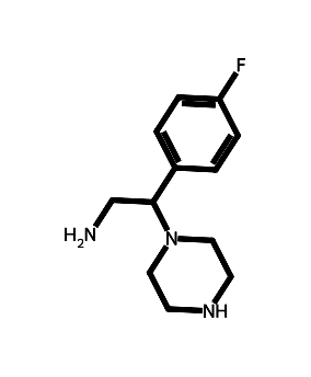 NCC(c1ccc(F)cc1)N1CCNCC1